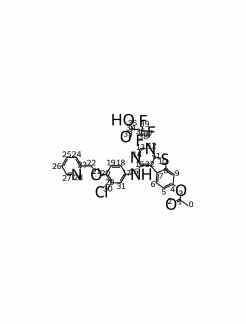 CC(=O)Oc1ccc2c(c1)sc1ncnc(Nc3ccc(OCc4ccccn4)c(Cl)c3)c12.O=C(O)C(F)(F)F